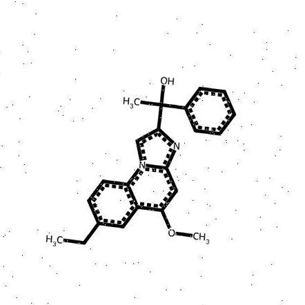 CCc1ccc2c(c1)c(OC)cc1nc(C(C)(O)c3ccccc3)cn12